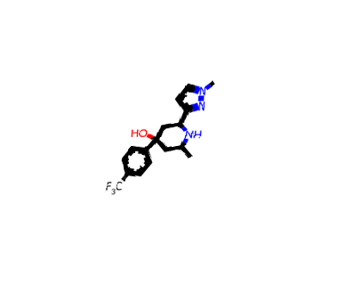 CC1CC(O)(c2ccc(C(F)(F)F)cc2)CC(c2ccn(C)n2)N1